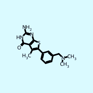 Cc1c(-c2cccc(CN(C)C)c2)sc2nc(N)[nH]c(=O)c12